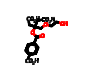 O=C(O)CC(COCCO)(CC(=O)O)OC(=O)c1ccc(C(=O)O)cc1